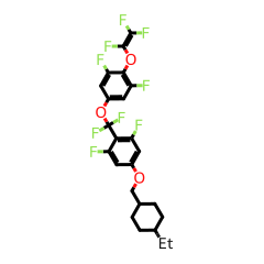 CCC1CCC(COc2cc(F)c(C(F)(F)Oc3cc(F)c(OC(F)=C(F)F)c(F)c3)c(F)c2)CC1